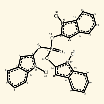 O=P(Oc1cc2ccccc2n1Cl)(Oc1cc2ccccc2n1Cl)Oc1cc2ccccc2n1Cl